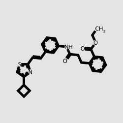 CCOC(=O)c1ccccc1CCC(=O)Nc1cccc(C=Cc2nc(C3CCC3)cs2)c1